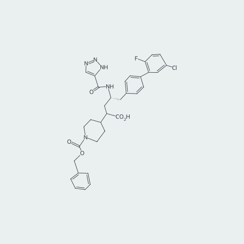 O=C(N[C@H](Cc1ccc(-c2cc(Cl)ccc2F)cc1)CC(C(=O)O)C1CCN(C(=O)OCc2ccccc2)CC1)c1cnn[nH]1